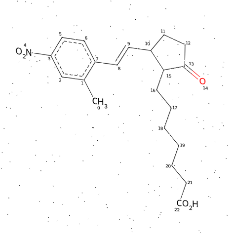 Cc1cc([N+](=O)[O-])ccc1C=CC1CCC(=O)C1CCCCCCC(=O)O